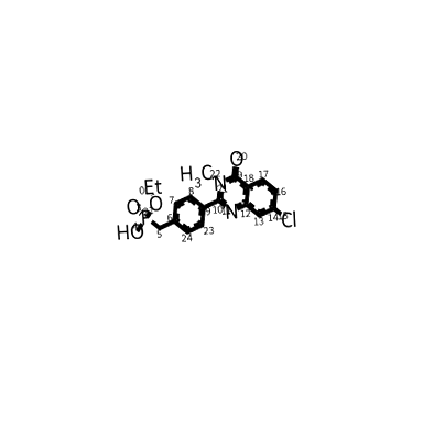 CCOP(=O)(O)Cc1ccc(-c2nc3cc(Cl)ccc3c(=O)n2C)cc1